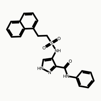 O=C(Nc1ccccc1)c1n[nH]cc1NS(=O)(=O)CCc1cccc2ccccc12